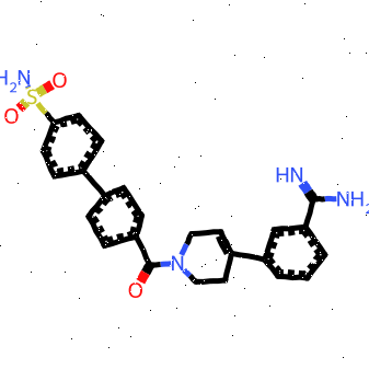 N=C(N)c1cccc(C2=CCN(C(=O)c3ccc(-c4ccc(S(N)(=O)=O)cc4)cc3)CC2)c1